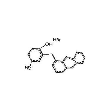 Br.Oc1ccc(O)c(Cc2cccc3cc4ccccc4cc23)c1